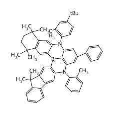 Cc1ccccc1N1c2cc3c(cc2B2c4cc5c(cc4N(c4ccc(C(C)(C)C)cc4C)c4cc(-c6ccccc6)cc1c42)C(C)(C)CCC5(C)C)C(C)(C)c1ccccc1-3